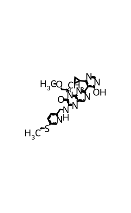 CCSc1ccc(CNc2nc3cnc(-c4c(O)ncnc4C4CC4)nc3n([C@@H](C)COC)c2=O)nc1